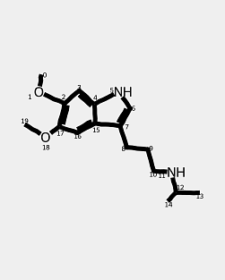 COc1cc2[nH]cc(CCCNC(C)C)c2cc1OC